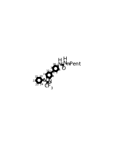 CCCCCNC(=O)Nc1ccc(-c2ccc3c(c2)nc(C(F)(F)F)n3-c2ccccc2)cc1